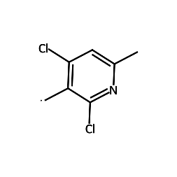 [CH2]c1c(Cl)cc(C)nc1Cl